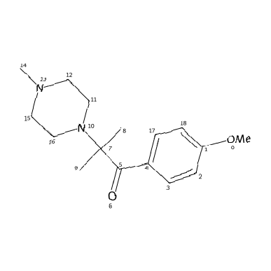 COc1ccc(C(=O)C(C)(C)N2CCN(C)CC2)cc1